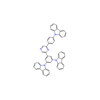 c1ccc2c(c1)c1ccccc1n2-c1ccc(-c2cncc(-c3cc(-n4c5ccccc5c5ccccc54)cc(-n4c5ccccc5c5ccccc54)c3)n2)cc1